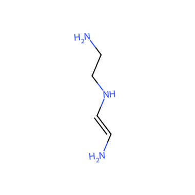 NC=CNCCN